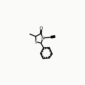 C#CN1C(=O)C(C)SC1c1ccccc1